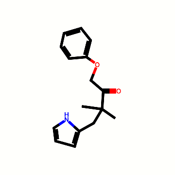 CC(C)(Cc1ccc[nH]1)C(=O)COc1ccccc1